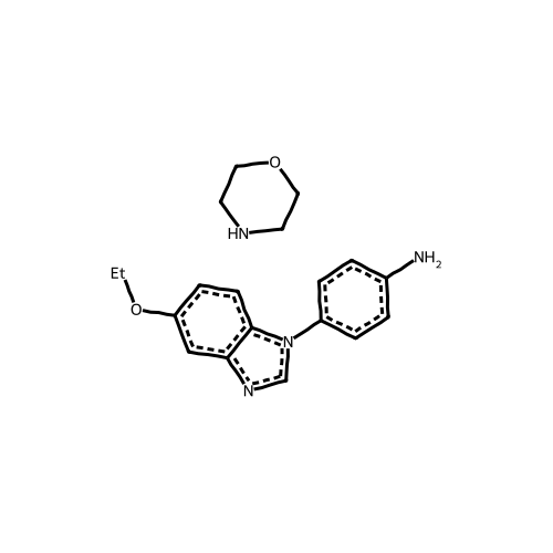 C1COCCN1.CCOc1ccc2c(c1)ncn2-c1ccc(N)cc1